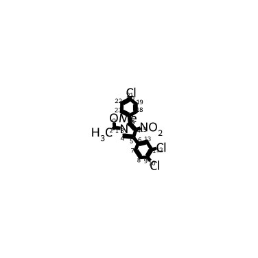 COC(C)n1cc(-c2ccc(Cl)c(Cl)c2)c([N+](=O)[O-])c1-c1ccc(Cl)cc1